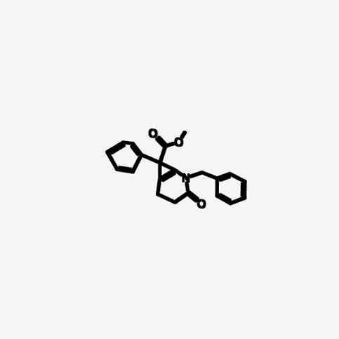 COC(=O)C1(c2ccccc2)C2=C1N(Cc1ccccc1)C(=O)CC2